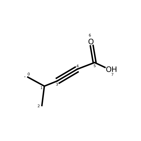 [CH2]C(C)C#CC(=O)O